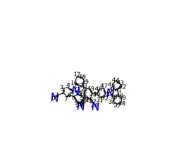 N#Cc1ccc2c(c1)c1ccccc1n2-c1ccccc1-c1cc(C#N)c(C#N)c(-c2ccc(-n3c4ccccc4c4ccccc43)cc2)c1